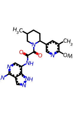 COc1ncc(C2CCC(C)CN2C(=O)C(=O)Nc2cnc(N)c3cn[nH]c23)cc1C